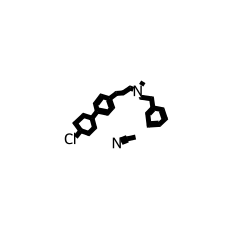 CC#N.CN(CCCc1ccc(C2CCC(Cl)CC2)cc1)CCc1ccccc1